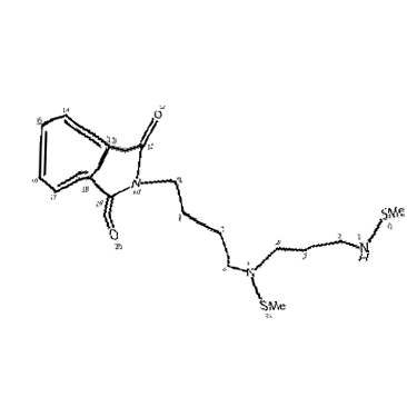 CSNCCCN(CCCCN1C(=O)c2ccccc2C1=O)SC